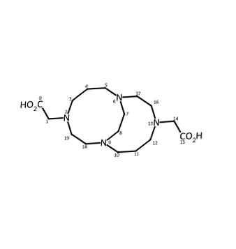 O=C(O)CN1CCCN2CCN(CCCN(CC(=O)O)CC2)CC1